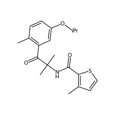 Cc1ccc(OC(C)C)cc1C(=O)C(C)(C)NC(=O)c1sccc1C